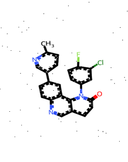 Cc1ccc(-c2ccc3ncc4ccc(=O)n(-c5ccc(F)c(Cl)c5)c4c3c2)cn1